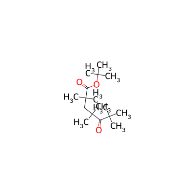 CC(C)(C)OC(=O)C(C)(C)CC(C)(C)C(=O)C(C)(C)C